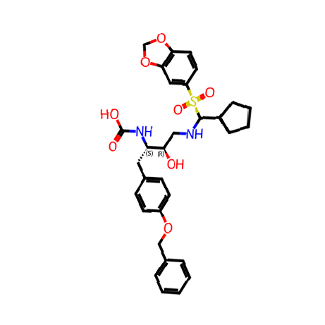 O=C(O)N[C@@H](Cc1ccc(OCc2ccccc2)cc1)[C@H](O)CNC(C1CCCC1)S(=O)(=O)c1ccc2c(c1)OCO2